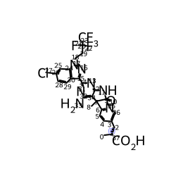 C/C(=C\c1ccc(C2(C)C(=O)Nc3nc(-c4nn(CCC(F)(F)C(F)(F)F)c5cc(Cl)ccc45)nc(N)c32)nc1)C(=O)O